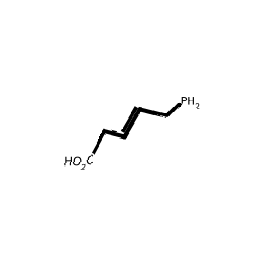 O=C(O)CC=CCP